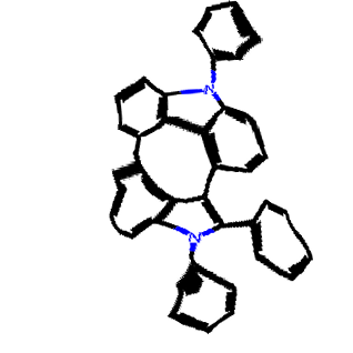 c1ccc(-c2c3c4c(cccc4n2-c2ccccc2)-c2cccc4c2c2c-3cccc2n4-c2ccccc2)cc1